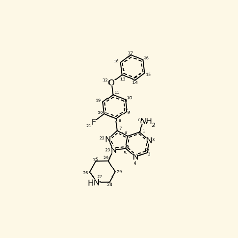 Nc1ncnc2c1c(-c1ccc(Oc3ccccc3)cc1F)nn2C1CCNCC1